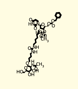 COP(=O)(O)OC1[C@@H](COC(=O)OCc2ccccc2)O[C@@H](n2ccc(=O)[nH]c2=O)[C@H]1C/C=C/CCCCNC(=O)NCCCCO[C@@H]1O[C@H](CO)[C@H](O)[C@H](O)[C@H]1NC(C)=O